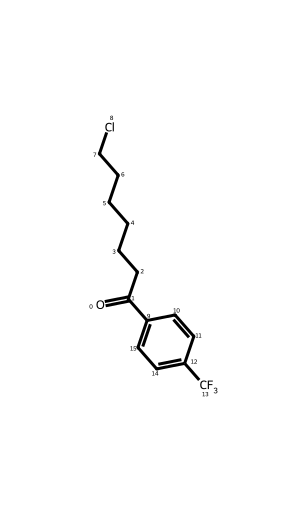 O=C(CCCCCCCl)c1ccc(C(F)(F)F)cc1